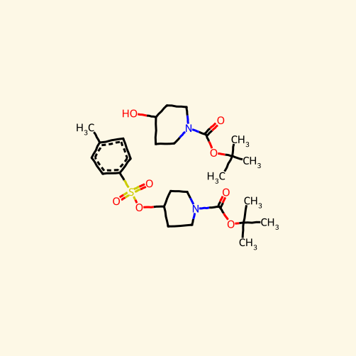 CC(C)(C)OC(=O)N1CCC(O)CC1.Cc1ccc(S(=O)(=O)OC2CCN(C(=O)OC(C)(C)C)CC2)cc1